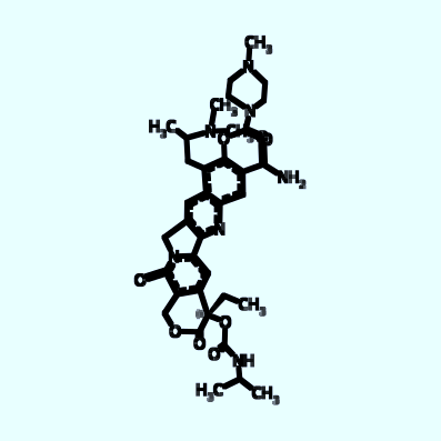 CC[C@@]1(OC(=O)NC(C)C)C(=O)OCc2c1cc1n(c2=O)Cc2cc3c(CC(C)N(C)C)c(OC(=O)N4CCN(C)CC4)c(C(N)=O)cc3nc2-1